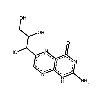 Nc1nc(=O)c2nc(C(O)C(O)CO)cnc2[nH]1